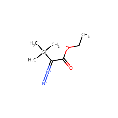 CCOC(=O)C(=[N+]=[N-])[Si](C)(C)C